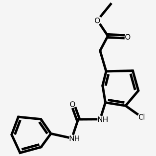 COC(=O)Cc1ccc(Cl)c(NC(=O)Nc2ccccc2)c1